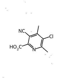 Cc1nc(C(=O)O)c(C#N)c(C)c1Cl